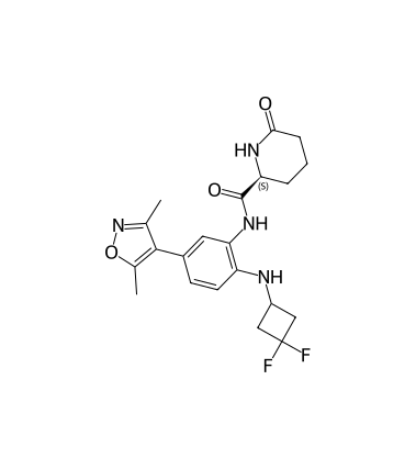 Cc1noc(C)c1-c1ccc(NC2CC(F)(F)C2)c(NC(=O)[C@@H]2CCCC(=O)N2)c1